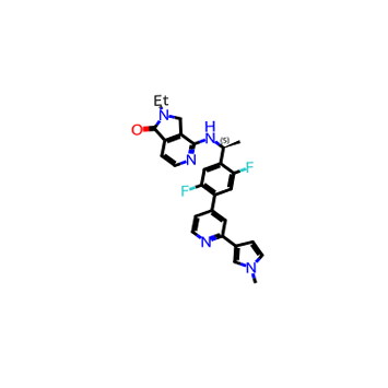 CCN1Cc2c(ccnc2N[C@@H](C)c2cc(F)c(-c3ccnc(-c4ccn(C)c4)c3)cc2F)C1=O